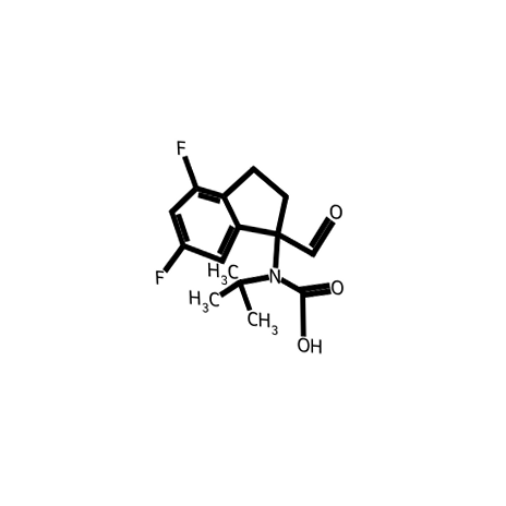 CC(C)(C)N(C(=O)O)C1(C=O)CCc2c(F)cc(F)cc21